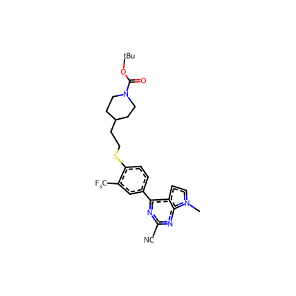 Cn1ccc2c(-c3ccc(SCCC4CCN(C(=O)OC(C)(C)C)CC4)c(C(F)(F)F)c3)nc(C#N)nc21